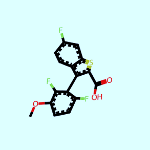 COc1ccc(F)c(-c2c(C(=O)O)sc3cc(F)ccc23)c1F